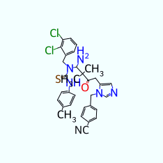 Cc1ccc(NC(=S)N(Cc2cccc(Cl)c2Cl)C(N)C(C)(C)C(=O)Cc2cncn2Cc2ccc(C#N)cc2)cc1